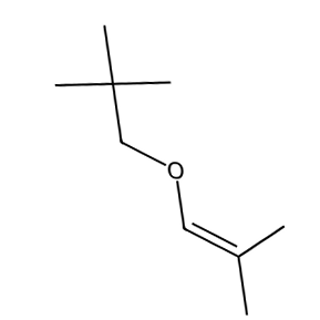 CC(C)=COCC(C)(C)C